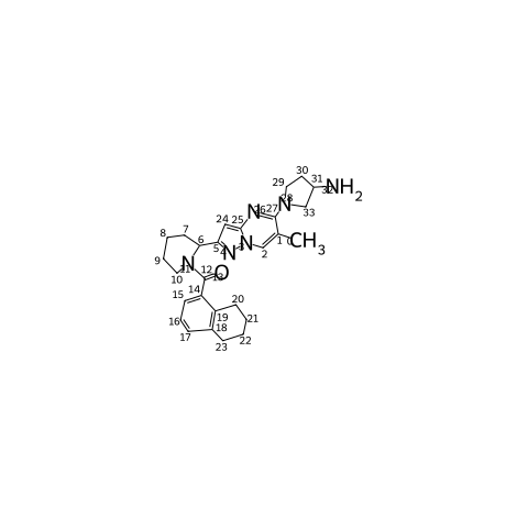 Cc1cn2nc(C3CCCCN3C(=O)c3cccc4c3CCCC4)cc2nc1N1CCC(N)C1